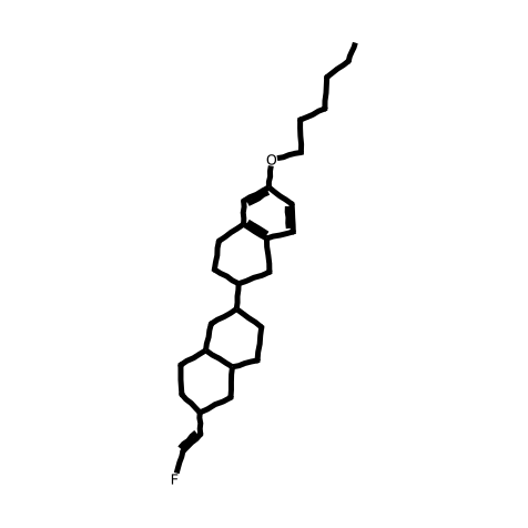 CCCCCCOc1ccc2c(c1)CCC(C1CCC3CC(C=CF)CCC3C1)C2